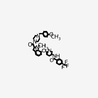 COc1ccc(CN2CCN(C(=O)c3cc4cccc(Oc5ccc(NC(=O)c6ccc(C(F)(F)F)cc6)cn5)c4n3C)CC2)cc1